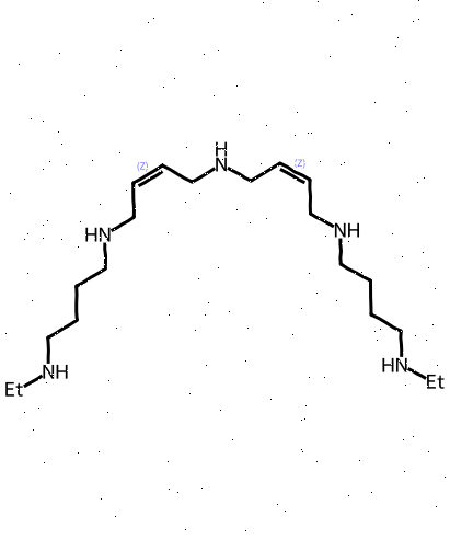 CCNCCCCNC/C=C\CNC/C=C\CNCCCCNCC